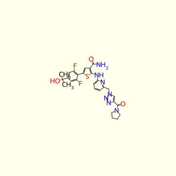 CC(C)(O)c1cc(F)c(-c2cc(C(N)=O)c(Nc3cccc(Cn4cc(C(=O)N5CCCC5)nn4)n3)s2)c(F)c1